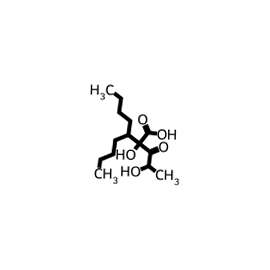 CCCCC(CCCC)C(O)(C(=O)O)C(=O)C(C)O